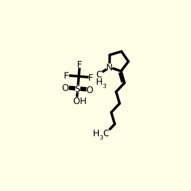 CCCCCC=C1CCCN1C.O=S(=O)(O)C(F)(F)F